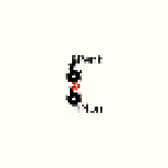 CCCCCC=Cc1ccc(OCc2ccc(CCCCCCCCC)cc2)cc1